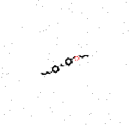 CCCCOC[C@H]1CC[C@H](CC[C@H]2CC[C@H](CCCC)CC2)CC1